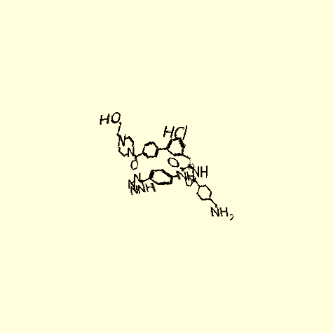 Cl.NCC1CCC(C(=O)N[C@@H](Cc2cccc(-c3ccc(C(=O)N4CCN(CCO)CC4)cc3)c2)C(=O)Nc2ccc(-c3nnn[nH]3)cc2)CC1